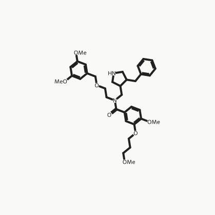 COCCCOc1cc(C(=O)N(CCOCc2cc(OC)cc(OC)c2)CC2CNCC2Cc2ccccc2)ccc1OC